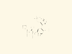 CC1(C)Cc2c(-c3cc(NC(=O)NC4CCC4)ncc3Cl)cnn2C1